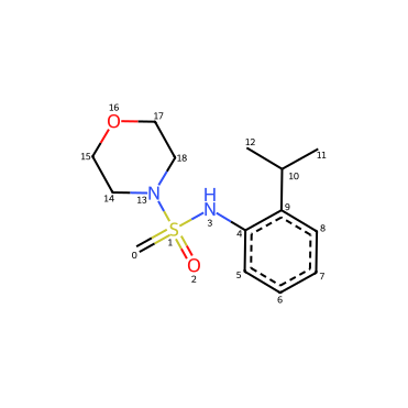 C=S(=O)(Nc1ccccc1C(C)C)N1CCOCC1